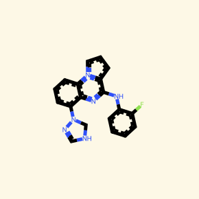 Fc1ccccc1Nc1nc2c(N3CNC=N3)cccc2n2cccc12